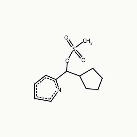 CS(=O)(=O)OC(c1ccccn1)C1CCCC1